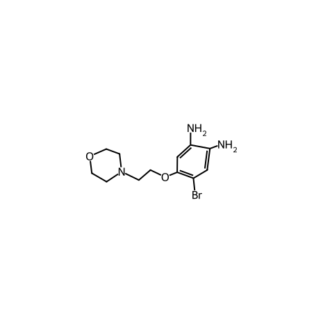 Nc1cc(Br)c(OCCN2CCOCC2)cc1N